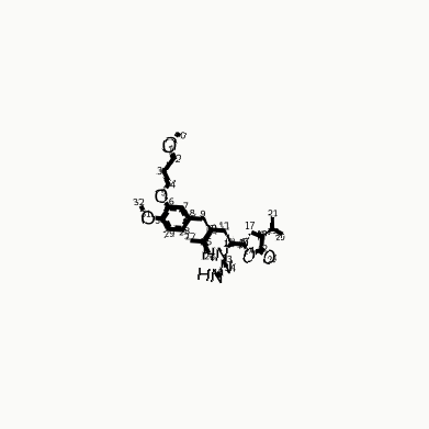 COCCCOc1cc(C[C@@H](C[C@H](NN=N)[C@@H]2C[C@@H](C(C)C)C(=O)O2)C(C)C)ccc1OC